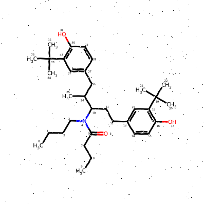 CCCCN(C(=O)CCC)C(CCc1ccc(O)c(C(C)(C)C)c1)C(C)Cc1ccc(O)c(C(C)(C)C)c1